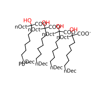 CCCCCCCCCCCCCCCCC(O)(CCCCCCCC)C(=O)[O-].CCCCCCCCCCCCCCCCC(O)(CCCCCCCC)C(=O)[O-].CCCCCCCCCCCCCCCCC(O)(CCCCCCCC)C(=O)[O-].CCCCCCCCCCCCCCCCC(O)(CCCCCCCC)C(=O)[O-].[Pb+4]